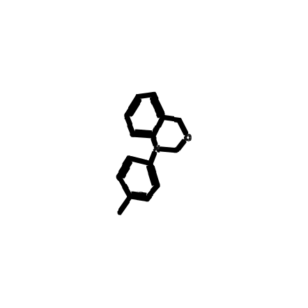 Cc1ccc(N2COCc3ccccc32)cc1